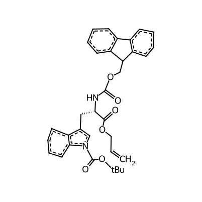 C=CCOC(=O)[C@H](Cc1cn(C(=O)OC(C)(C)C)c2ccccc12)NC(=O)OCC1c2ccccc2-c2ccccc21